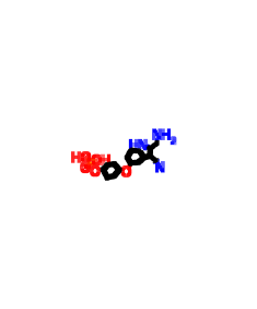 N#Cc1c(CN)[nH]c2ccc(Oc3ccc(OP(=O)(O)O)cc3)cc12